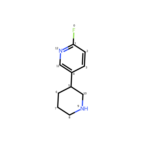 Fc1ccc(C2CCCNC2)cn1